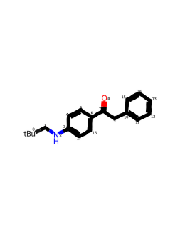 CC(C)(C)CNc1ccc(C(=O)Cc2ccccc2)cc1